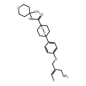 CC1(NC(=O)C23CCC(c4ccc(OC/C(=C/F)CN)cc4)(CC2)CC3)CCOCC1